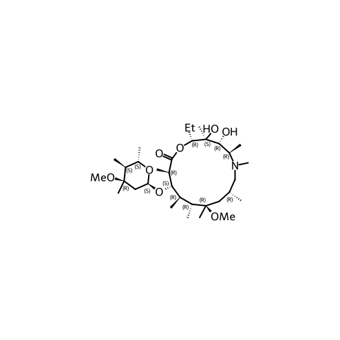 CC[C@H]1OC(=O)[C@H](C)[C@@H](O[C@H]2C[C@@](C)(OC)[C@@H](C)[C@H](C)O2)[C@H](C)[C@@H](C)[C@](C)(OC)C[C@@H](C)CN(C)[C@H](C)[C@@H](O)[C@]1(C)O